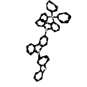 c1ccc([Si](c2ccccc2)(c2ccccc2)c2cccc3c2c2ccccc2n3-c2ccc3c(c2)c2ccccc2n3-c2ccc3oc4ccccc4c3c2)cc1